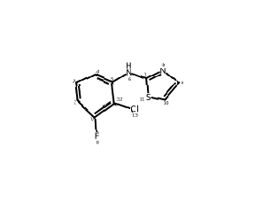 Fc1cccc(Nc2nccs2)c1Cl